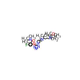 CCN(C(=O)c1cc(F)ccc1Oc1nncnc1N1CCC2(C1)CN(C(CCCN(C)CC(C)(C)OC)C(C)C)C2)C(C)C